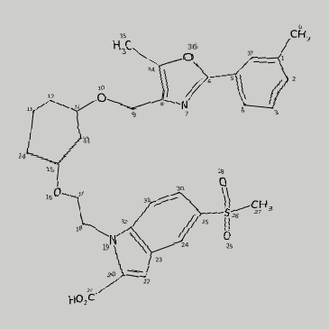 Cc1cccc(-c2nc(COC3CCCC(OCCn4c(C(=O)O)cc5cc(S(C)(=O)=O)ccc54)C3)c(C)o2)c1